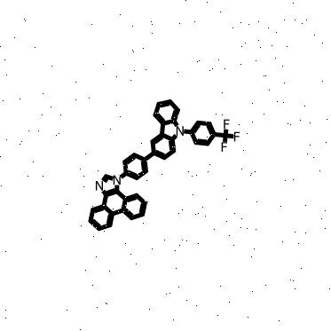 FC(F)(F)c1ccc(-n2c3ccccc3c3cc(-c4ccc(-n5cnc6c7ccccc7c7ccccc7c65)cc4)ccc32)cc1